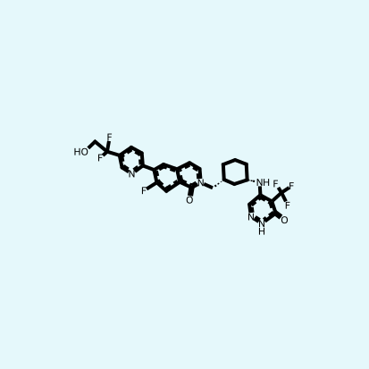 O=c1[nH]ncc(N[C@H]2CCC[C@@H](Cn3ccc4cc(-c5ccc(C(F)(F)CO)cn5)c(F)cc4c3=O)C2)c1C(F)(F)F